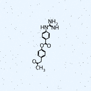 CC(=O)Cc1ccc(OC(=O)c2ccc(NC(=N)N)cc2)cc1